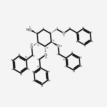 O[C@H]1C[C@H](COCc2ccccc2)[C@@H](OCc2ccccc2)[C@H](OCc2ccccc2)[C@@H]1OCc1ccccc1